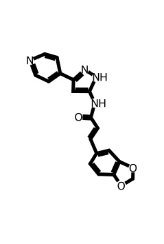 O=C(C=Cc1ccc2c(c1)OCO2)Nc1cc(-c2ccncc2)n[nH]1